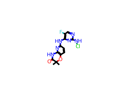 CC1(C)Oc2ccc(Nc3nc(NCl)ncc3F)nc2NC1=O